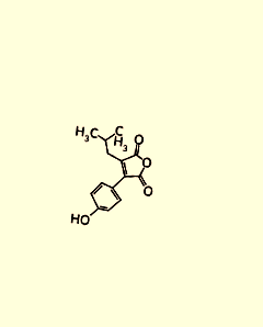 CC(C)CC1=C(c2ccc(O)cc2)C(=O)OC1=O